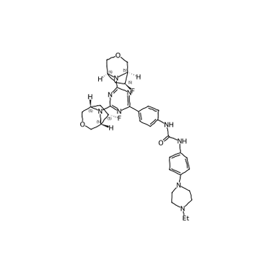 CCN1CCN(c2ccc(NC(=O)Nc3ccc(-c4nc(N5[C@@H]6COC[C@H]5[C@@H](F)C6)nc(N5[C@@H]6COC[C@H]5[C@@H](F)C6)n4)cc3)cc2)CC1